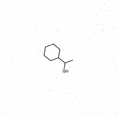 [CH2]CCC(C)C1CCCCC1